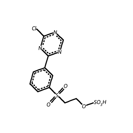 O=S(=O)(O)OCCS(=O)(=O)c1cccc(-c2ncnc(Cl)n2)c1